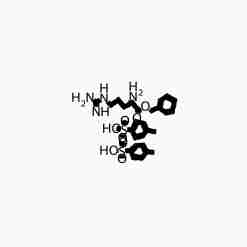 Cc1ccc(S(=O)(=O)O)cc1.Cc1ccc(S(=O)(=O)O)cc1.N=C(N)NCCC[C@H](N)C(=O)OCc1ccccc1